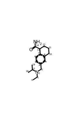 CCN(Cc1ccc2c(c1)CC[C]C2C(N)=O)C(C)C